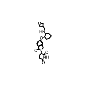 O=C1CCC(N2Cc3cc(O[C@@H]4CCCC[C@H]4NCC4COC4)ccc3C2=O)C(=O)N1